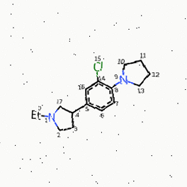 CCN1CCC(c2ccc(N3CCCC3)c(Cl)c2)C1